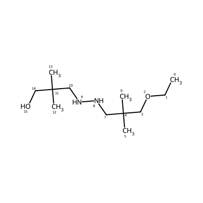 CCOCC(C)(C)CNNCC(C)(C)CO